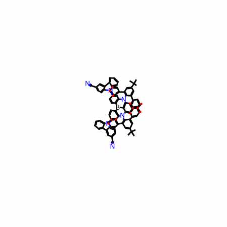 CC(C)c1cc2c3c(c1)N(c1c(-c4ccccc4)cc(C(C)(C)C)cc1-c1ccccc1)c1cc(-n4c5ccccc5c5cc(C#N)ccc54)ccc1B3c1ccc(-n3c4ccccc4c4cc(C#N)ccc43)cc1N2c1c(-c2ccccc2)cc(C(C)(C)C)cc1-c1ccccc1